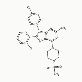 Cc1cc(N2CCN(S(C)(=O)=O)CC2)n2nc(-c3ccccc3Cl)c(-c3ccc(Cl)cc3)c2n1